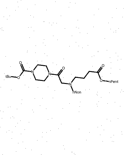 CCCCCCCCCN(CCCC(=O)OCCCCC)CC(=O)N1CCN(C(=O)OC(C)(C)C)CC1